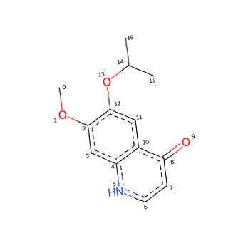 COc1cc2[nH]ccc(=O)c2cc1OC(C)C